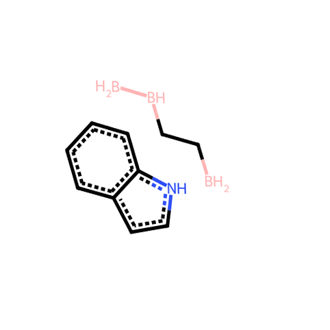 BBCCB.c1ccc2[nH]ccc2c1